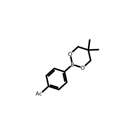 CC(=O)c1ccc(B2OCC(C)(C)CO2)cc1